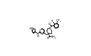 NC(=O)C1(Cc2cccc(Nc3cc[nH]n3)n2)CCN(C(=O)c2cccc(C(F)(F)F)c2F)CC1